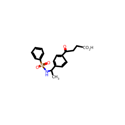 CC(NS(=O)(=O)c1ccccc1)c1ccc(C(=O)CCC(=O)O)cc1